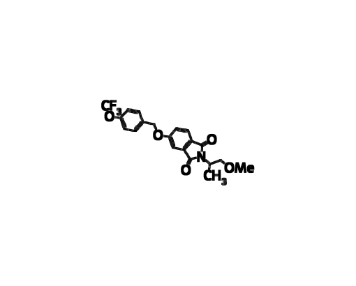 COCC(C)N1C(=O)c2ccc(OCc3ccc(OC(F)(F)F)cc3)cc2C1=O